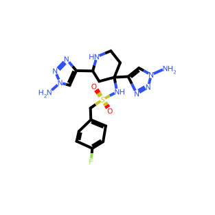 Nn1cc(C2CC(NS(=O)(=O)Cc3ccc(F)cc3)(c3cn(N)nn3)CCN2)nn1